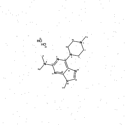 CN1CCN(c2nc(N(C)C)nc3c2ncn3C)CC1.Cl.Cl